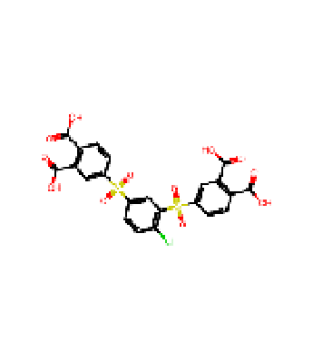 O=C(O)c1ccc(S(=O)(=O)c2ccc(Cl)c(S(=O)(=O)c3ccc(C(=O)O)c(C(=O)O)c3)c2)cc1C(=O)O